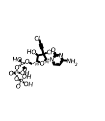 Nc1ccn([C@@H]2O[C@H](COP(=O)(O)OP(=O)(O)OP(=O)(O)O)C(O)C2(Cl)C#CCl)c(=O)n1